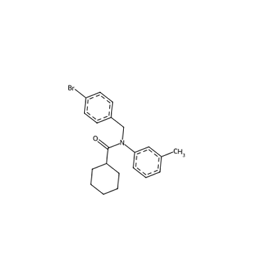 Cc1cccc(N(Cc2ccc(Br)cc2)C(=O)C2CCCCC2)c1